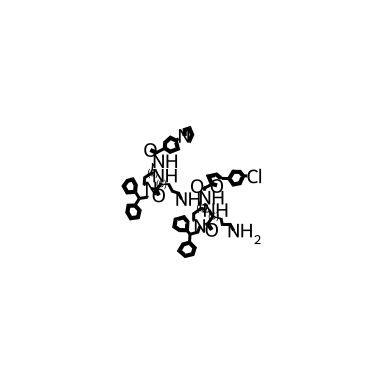 NCCC[C@@H]1N[C@H](CNC(=O)c2ccc(-c3ccc(Cl)cc3)o2)CCN(CC(c2ccccc2)c2ccccc2)C1=O.NCCC[C@@H]1N[C@H](CNC(=O)c2ccc(-n3cccc3)cc2)CCN(CC(c2ccccc2)c2ccccc2)C1=O